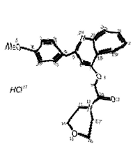 COc1ccc(-c2cc(OCC(=O)N3CCOCC3)c3ccccc3n2)cc1.Cl